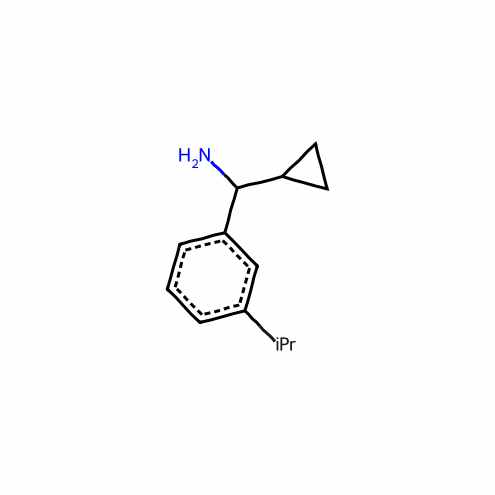 CC(C)c1cccc(C(N)C2CC2)c1